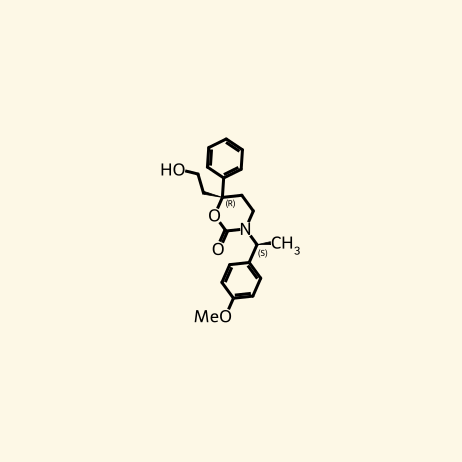 COc1ccc([C@H](C)N2CC[C@@](CCO)(c3ccccc3)OC2=O)cc1